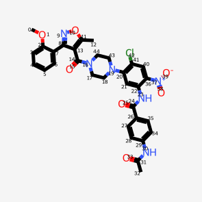 COc1ccccc1-c1noc(C)c1C(=O)N1CCN(c2cc(NC(=O)c3ccc(NC(C)=O)cc3)c([N+](=O)[O-])cc2Cl)CC1